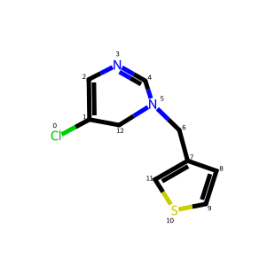 ClC1=CN=CN(Cc2ccsc2)C1